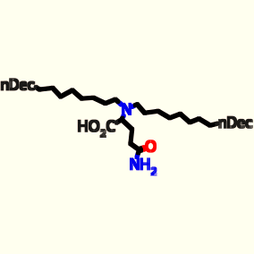 CCCCCCCCCCCCCCCCCCN(CCCCCCCCCCCCCCCCCC)C(CCC(N)=O)C(=O)O